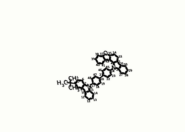 CC(C)(C)c1ccc2c(c1)c1ccccc1n2-c1ccc(-c2ccc(-n3c4ccccc4c4ccc5oc6ccccc6c5c43)cc2)cc1